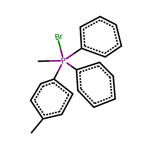 Cc1ccc(P(C)(Br)(c2ccccc2)c2ccccc2)cc1